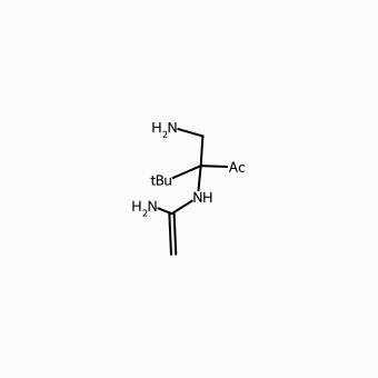 C=C(N)NC(CN)(C(C)=O)C(C)(C)C